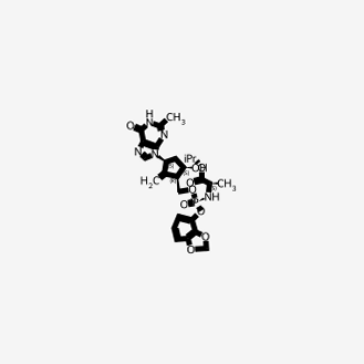 C=C1[C@H](CO[P@@](=O)(N[C@@H](C)C(=O)OC(C)C)Oc2cccc3c2OCO3)[C@@H](O)C[C@@H]1n1cnc2c(=O)[nH]c(C)nc21